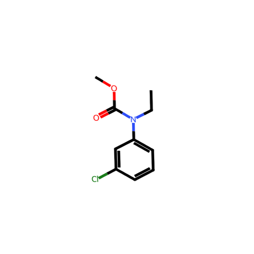 CCN(C(=O)OC)c1cccc(Cl)c1